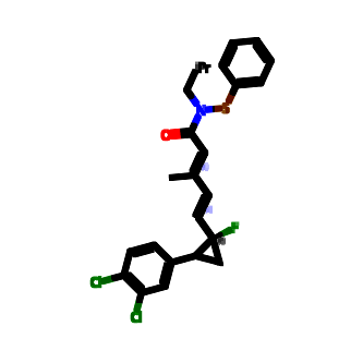 CC(/C=C/[C@]1(F)CC1c1ccc(Cl)c(Cl)c1)=C\C(=O)N(CC(C)C)Sc1ccccc1